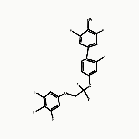 CCCc1c(F)cc(-c2ccc(OC(F)(F)COc3cc(F)c(F)c(F)c3)cc2F)cc1F